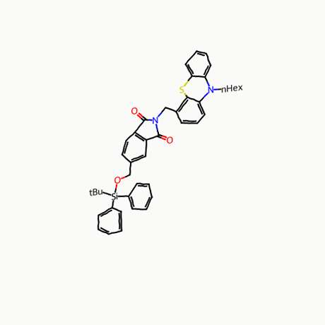 CCCCCCN1c2ccccc2Sc2c(CN3C(=O)c4ccc(CO[Si](c5ccccc5)(c5ccccc5)C(C)(C)C)cc4C3=O)cccc21